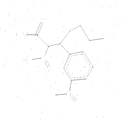 CC[C@@H](C)CC(c1cccc([N+](=O)[O-])c1)C(C(N)=O)S(=O)O